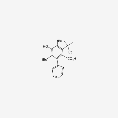 CCC(C)(C)c1c(C(=O)O)c(-c2ccccc2)c(C(C)(C)C)c(O)c1C(C)(C)C